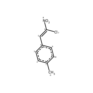 Cc1ccc(C=C(Cl)[N+](=O)[O-])cc1